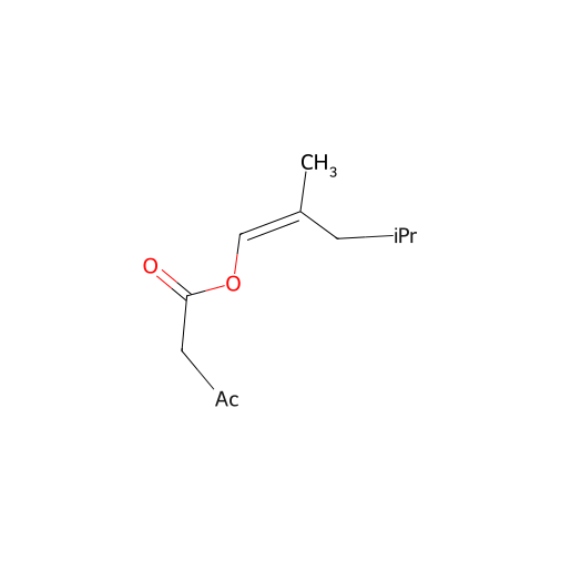 CC(=O)CC(=O)OC=C(C)CC(C)C